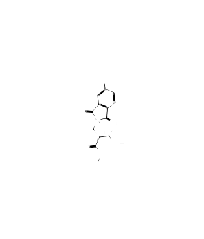 COC(=O)[C@@H](CN1C(=O)c2ccc(F)cc2C1=O)[C@@H](C)O